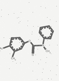 CC(=O)c1ccc(OC(=O)N(C)c2ccccc2)cc1C